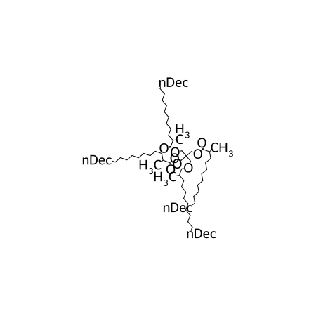 CCCCCCCCCCCCCCCCCCCC(C)C(=O)OCC(COC(=O)C(C)CCCCCCCCCCCCCCCCCCC)(COC(=O)C(C)CCCCCCCCCCCCCCCCCCC)COC(=O)C(C)CCCCCCCCCCCCCCCCCCC